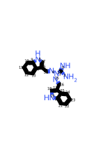 N=C(N)N(/N=C/c1c[nH]c2ccccc12)/N=C/c1c[nH]c2ccccc12